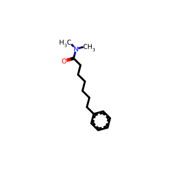 CN(C)C(=O)CCCCCCc1ccccc1